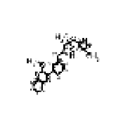 COc1nc2ccccc2nc1-c1cccc(CCCC(C)(C)Cc2nnc(C)o2)c1